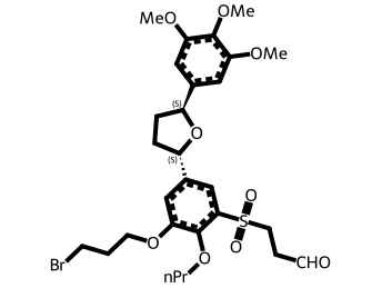 CCCOc1c(OCCCBr)cc([C@@H]2CC[C@@H](c3cc(OC)c(OC)c(OC)c3)O2)cc1S(=O)(=O)CCC=O